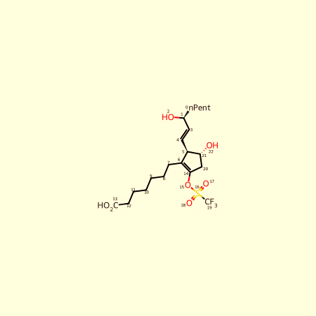 CCCCC[C@H](O)/C=C/[C@@H]1C(CCCCCCC(=O)O)=C(OS(=O)(=O)C(F)(F)F)C[C@H]1O